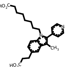 Cc1c(-c2ccncc2)n(CCCCCCCC(=O)O)c2ccc(CCC(=O)O)cc12